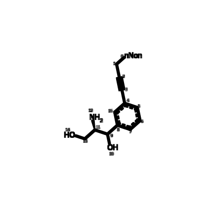 CCCCCCCCCCC#Cc1cccc(C(O)[C@H](N)CO)c1